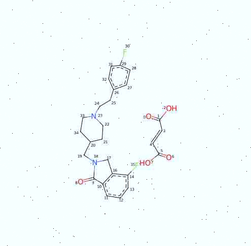 O=C(O)/C=C/C(=O)O.O=C1c2cccc(F)c2CN1CC1CCN(CCc2ccc(F)cc2)CC1